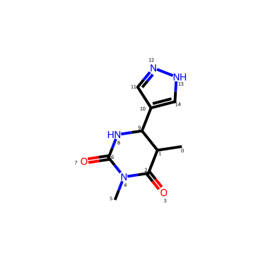 CC1C(=O)N(C)C(=O)NC1c1cn[nH]c1